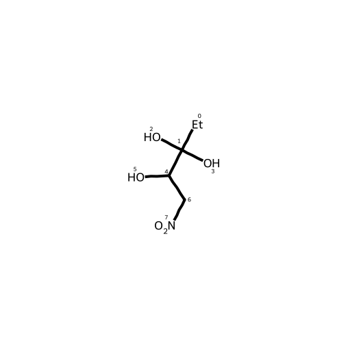 CCC(O)(O)C(O)C[N+](=O)[O-]